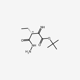 CC[C@H](C(=N)C(=O)OC(C)(C)C)C(=O)NN